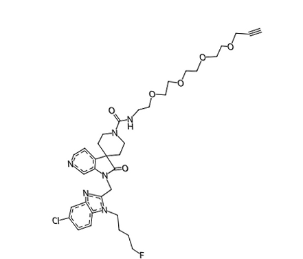 C#CCOCCOCCOCCOCCNC(=O)N1CCC2(CC1)C(=O)N(Cc1nc3cc(Cl)ccc3n1CCCCF)c1cnccc12